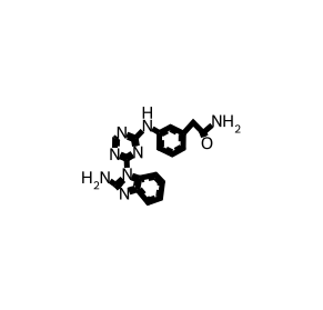 NC(=O)Cc1cccc(Nc2ncnc(-n3c(N)nc4ccccc43)n2)c1